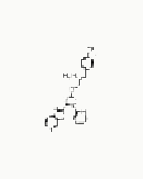 N[C@@H](CNc1nc(-c2ccccn2)c(-c2nc3ccncc3s2)s1)Cc1ccc(C(F)(F)F)cc1